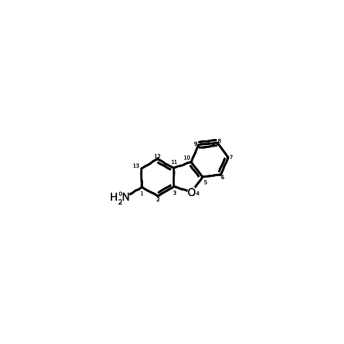 NC1C=c2oc3ccc#cc3c2=CC1